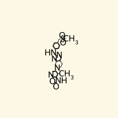 Cc1c(N2CCc3cnc(Nc4ccc(CS(C)(=O)=O)cc4)nc3C2)cnc2oc(=O)[nH]c12